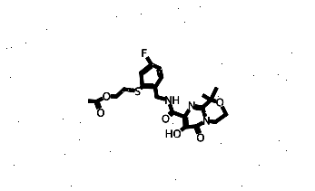 CC(=O)OCCSc1cc(F)ccc1CNC(=O)c1nc2n(c(=O)c1O)CCOC2(C)C